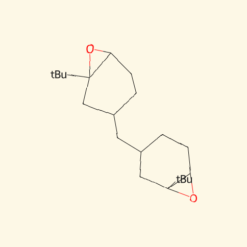 CC(C)(C)C12CC(CC3CCC4OC4(C(C)(C)C)C3)CCC1O2